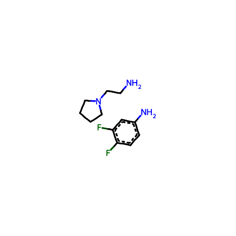 NCCN1CCCC1.Nc1ccc(F)c(F)c1